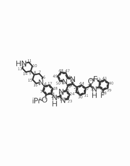 CC(C)Oc1cc(N2CCC(C3CCNCC3)CC2)ccc1Nc1nccc(-c2c(-c3cccc(C(=O)Nc4c(F)cccc4F)c3)nc3ccccn23)n1